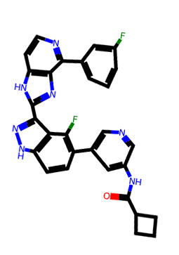 O=C(Nc1cncc(-c2ccc3[nH]nc(-c4nc5c(-c6cccc(F)c6)nccc5[nH]4)c3c2F)c1)C1CCC1